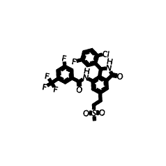 CS(=O)(=O)CCc1cc(NC(=O)c2cc(F)cc(C(F)(F)F)c2)c2c(c1)C(=O)NC2c1cc(F)ccc1Cl